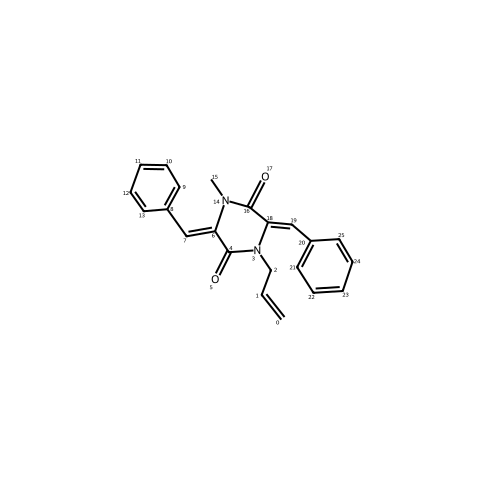 C=CCn1c(=O)/c(=C/c2ccccc2)n(C)c(=O)/c1=C/c1ccccc1